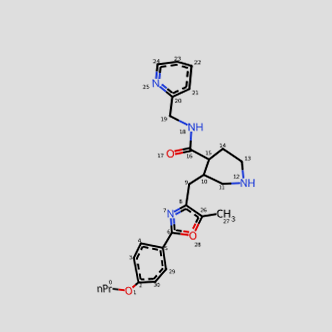 CCCOc1ccc(-c2nc(CC3CNCCC3C(=O)NCc3ccccn3)c(C)o2)cc1